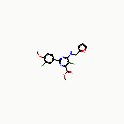 COC(=O)c1nc(-c2ccc(OC)c(F)c2)nc(NCc2ccco2)c1Cl